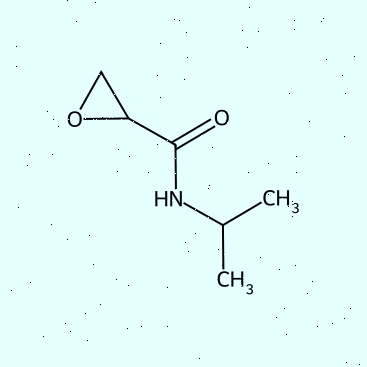 CC(C)NC(=O)C1CO1